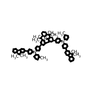 Cc1cccc(N(c2ccc(-c3ccc4c(c3)C(C)(C)c3ccccc3-4)cc2)c2ccc(-c3cc4c5c(c3)c3c6n5C5=C(C=CCC5C4(C)C)C(C)(C)C=6CC(c4ccc(N(c5ccc(-c6ccc7c(c6)C(C)(C)c6ccccc6-7)cc5)c5cccc(C)c5)cc4)C=3)cc2)c1